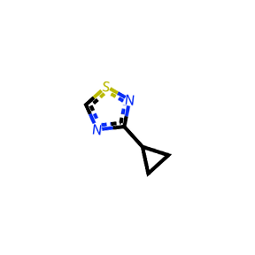 c1nc(C2CC2)ns1